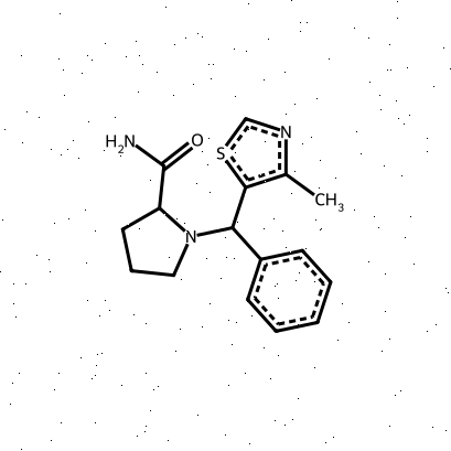 Cc1ncsc1C(c1ccccc1)N1CCCC1C(N)=O